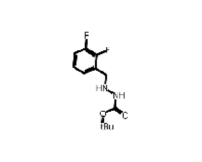 CC(C)(C)OC(=O)NNCc1cccc(F)c1F